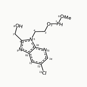 COPOCCn1c(CO)nc2cc(Cl)cnc21